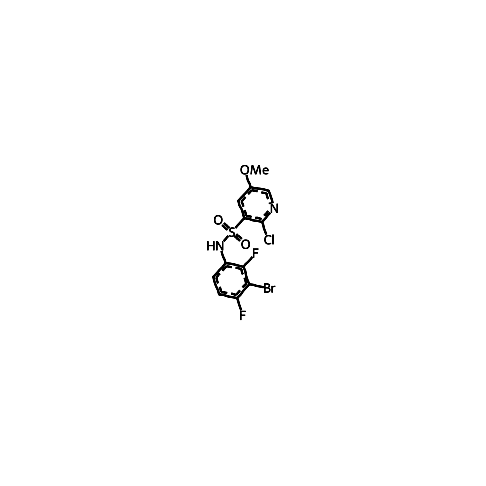 COc1cnc(Cl)c(S(=O)(=O)Nc2ccc(F)c(Br)c2F)c1